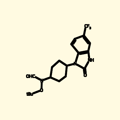 CC(C)(C)ON(C=O)C1CCC(n2c(=O)[nH]c3cc(C(F)(F)F)ccc32)CC1